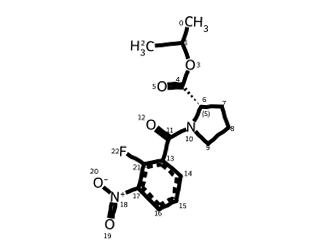 CC(C)OC(=O)[C@@H]1CCCN1C(=O)c1cccc([N+](=O)[O-])c1F